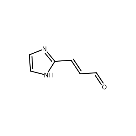 O=CC=Cc1ncc[nH]1